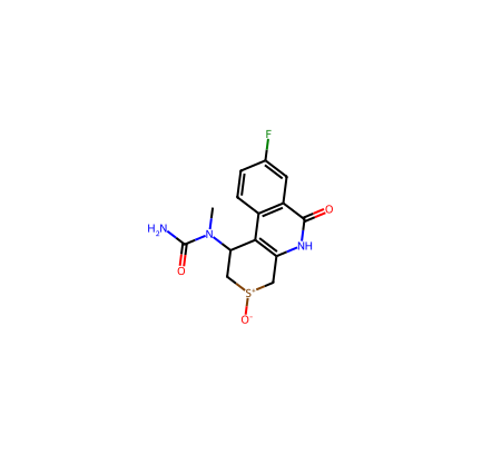 CN(C(N)=O)C1C[S+]([O-])Cc2[nH]c(=O)c3cc(F)ccc3c21